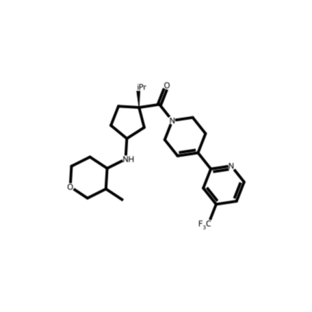 CC1COCCC1NC1CC[C@@](C(=O)N2CC=C(c3cc(C(F)(F)F)ccn3)CC2)(C(C)C)C1